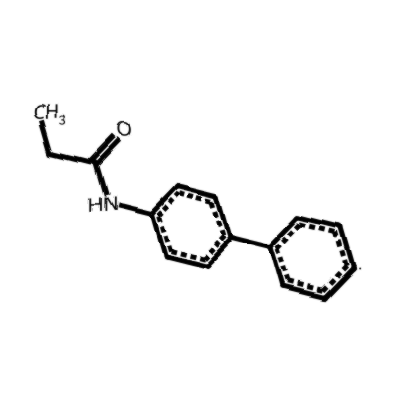 CCC(=O)Nc1ccc(-c2cc[c]cc2)cc1